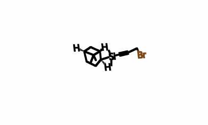 CC1(C)[C@H]2CC[C@H]([Si](C)(C)C#CCBr)[C@H]1C2